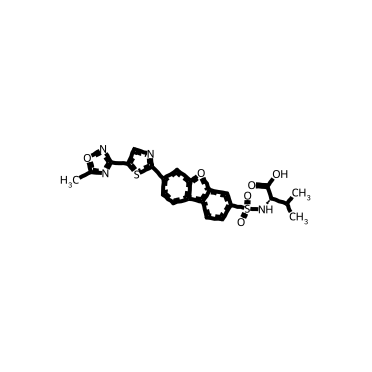 Cc1nc(-c2cnc(-c3ccc4c(c3)oc3cc(S(=O)(=O)N[C@H](C(=O)O)C(C)C)ccc34)s2)no1